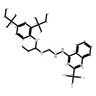 CCC(OCNNc1nc(C(F)(F)F)nc2ccccc12)Oc1ccc(C(C)(C)CC)cc1C(C)(C)CC